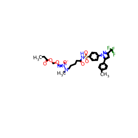 CCC(=O)OCON=[N+]([O-])N(C)CCCCC(=O)NS(=O)(=O)c1ccc(-n2nc(C(F)(F)F)cc2-c2ccc(C)cc2)cc1